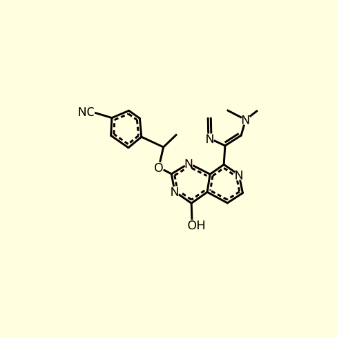 C=N/C(=C\N(C)C)c1nccc2c(O)nc(OC(C)c3ccc(C#N)cc3)nc12